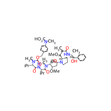 CC[C@H](C)C(C(CC(=O)N1CCC[C@@H]1[C@H](OC)[C@@H](C)C(=O)N[C@H](C)[C@@H](O)c1ccccc1)OC)N(C)C(=O)C(NC(=O)C(C(C)C)N(C)C(=O)OCc1ccc(N(C)C(=O)O)cc1)C(C)C